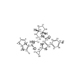 Cc1nc2sccn2c1C(=O)NC[C@@H]1C[C@@H]2CCC[C@@H]2N1C(=O)c1nc(C2CC2)sc1-c1ccc(F)cc1